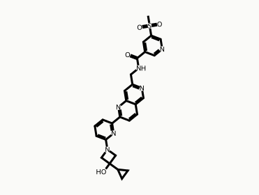 CS(=O)(=O)c1cncc(C(=O)NCc2cc3nc(-c4cccc(N5CC(O)(C6CC6)C5)n4)ccc3cn2)c1